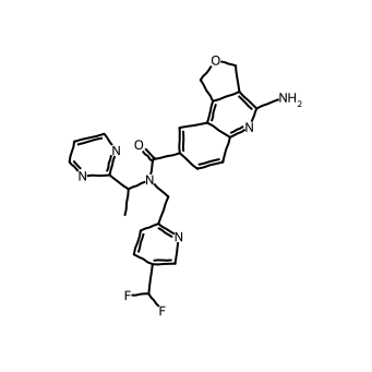 CC(c1ncccn1)N(Cc1ccc(C(F)F)cn1)C(=O)c1ccc2nc(N)c3c(c2c1)COC3